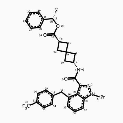 CC(C)n1nc(C(=O)N[C@H]2CC3(C2)C[C@H](C(=O)O[C@@H](C)c2ccccc2)C3)c2c(Cc3ccc(C(F)(F)F)cc3)cccc21